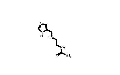 NC(=S)NCCNCc1cnc[nH]1